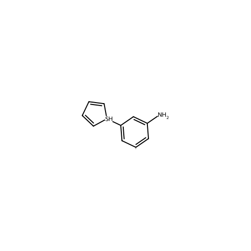 Nc1c[c]cc([SH]2C=CC=C2)c1